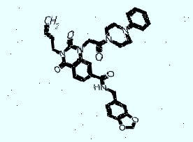 C=CCCn1c(=O)c2ccc(C(=O)NCc3ccc4c(c3)OCO4)cc2n(CC(=O)N2CCN(c3ccccc3)CC2)c1=O